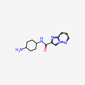 NC1CCC(NC(=O)c2cn3ncccc3n2)CC1